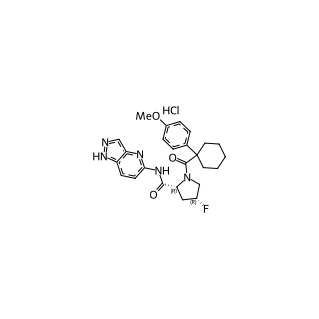 COc1ccc(C2(C(=O)N3C[C@H](F)C[C@@H]3C(=O)Nc3ccc4[nH]ncc4n3)CCCCC2)cc1.Cl